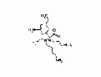 CCCCCN(CC)[C@](CCCC)(C(=O)O)C(CCCC)CC(N)=O